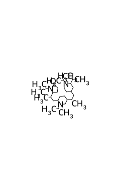 CC(C)C1CC(C[C@H](C)C2CCC(CC(C)C3CCC(=O)N3C(C)C)N(C(C)C)C2)CCN1C(C)C